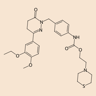 CCOc1cc(C2=NN(Cc3ccc(NC(=O)OCCN4CCSCC4)cc3)C(=O)CC2)ccc1OC